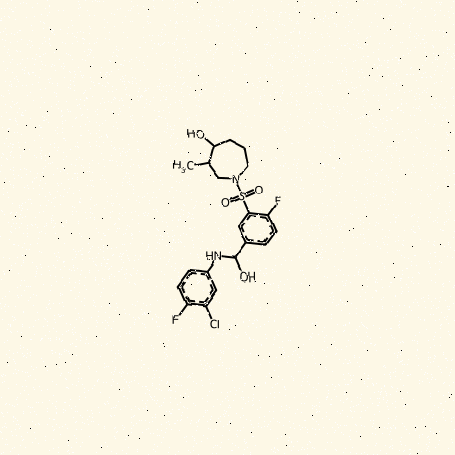 CC1CN(S(=O)(=O)c2cc(C(O)Nc3ccc(F)c(Cl)c3)ccc2F)CCCC1O